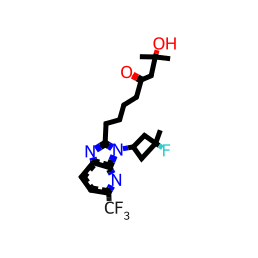 CC(C)(O)CC(=O)CCCCc1nc2ccc(C(F)(F)F)nc2n1C1CC(C)(F)C1